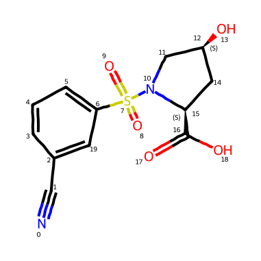 N#Cc1cccc(S(=O)(=O)N2C[C@@H](O)C[C@H]2C(=O)O)c1